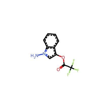 Nn1cc(OC(=O)C(F)(F)F)c2ccccc21